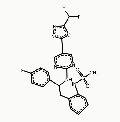 CS(=O)(=O)Nc1ccccc1CC(Nc1ncc(-c2nnc(C(F)F)o2)cn1)c1ccc(F)cc1